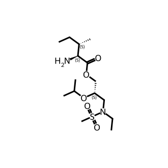 CC[C@H](C)[C@H](N)C(=O)OC[C@H](CN(CC)S(C)(=O)=O)OC(C)C